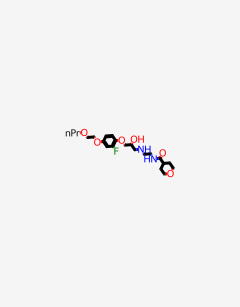 CCCOCCOc1ccc(OCC(O)CNCCNC(=O)C2CCOCC2)c(F)c1